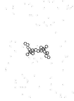 c1ccc(N(c2ccc3c(c2)Cc2c-3ccc3ccccc23)c2cccc3c2oc2ccc4c(ccc5oc6c(N(c7ccccc7)c7ccc8c(c7)oc7c9ccccc9ccc87)cccc6c54)c23)cc1